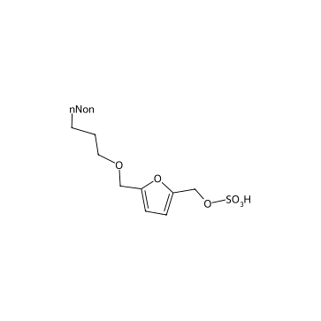 CCCCCCCCCCCCOCc1ccc(COS(=O)(=O)O)o1